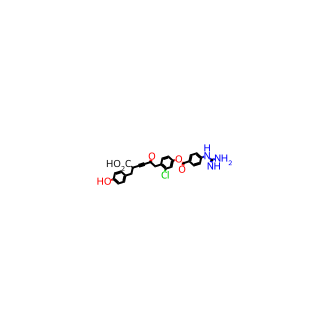 N=C(N)Nc1ccc(C(=O)Oc2ccc(CC(=O)C#C[C@@H](Cc3ccc(O)cc3)C(=O)O)c(Cl)c2)cc1